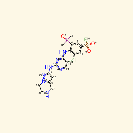 CP(C)(=O)c1cc(S(=O)(=O)F)ccc1Nc1nc(Nc2cc3n(n2)CCNC3)ncc1Cl